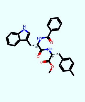 COC(=O)[C@@H](Cc1ccc(C)cc1)NC(=O)[C@H](Cc1c[nH]c2ccccc12)NC(=O)c1ccccc1